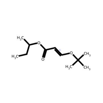 CCC(C)OC(=O)/C=C/OC(C)(C)C